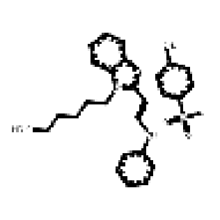 Cc1ccc(S(=O)(=O)[O-])cc1.O=C(O)CCCCC[n+]1c(C=CNc2ccccc2)sc2ccccc21